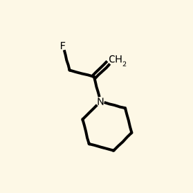 C=C(CF)N1CCCCC1